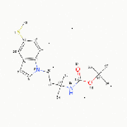 CSc1ccc2c(ccn2CCC(C)(C)NC(=O)OC(C)(C)C)c1